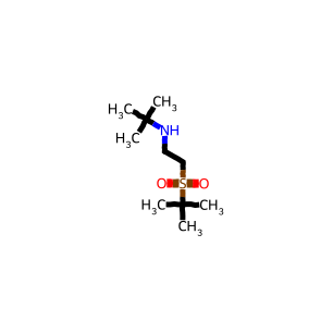 CC(C)(C)NCCS(=O)(=O)C(C)(C)C